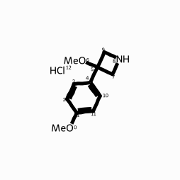 COc1ccc(C2(OC)CNC2)cc1.Cl